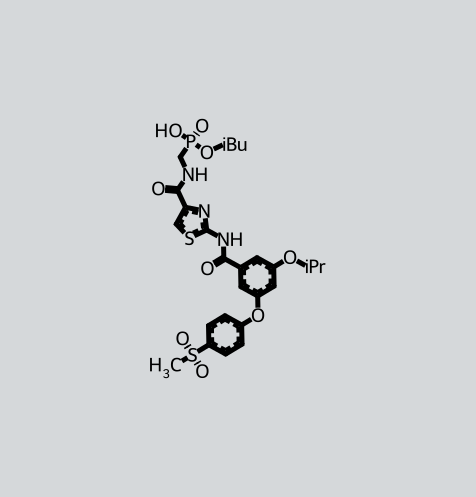 CCC(C)OP(=O)(O)CNC(=O)c1csc(NC(=O)c2cc(Oc3ccc(S(C)(=O)=O)cc3)cc(OC(C)C)c2)n1